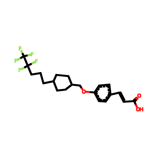 O=C(O)C=Cc1ccc(OCC2CCC(CCCC(F)(F)C(F)(F)F)CC2)cc1